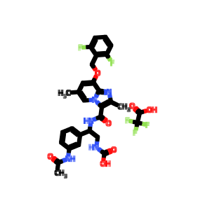 CC(=O)Nc1cccc(C(CNC(=O)O)NC(=O)c2c(C)nc3c(OCc4c(F)cccc4F)cc(C)cn23)c1.O=C(O)C(F)(F)F